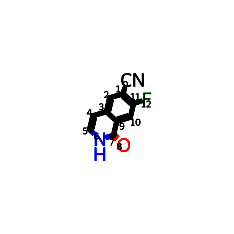 N#Cc1cc2cc[nH]c(=O)c2cc1F